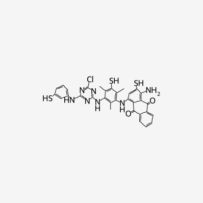 Cc1c(S)c(C)c(Nc2cc(S)c(N)c3c2C(=O)c2ccccc2C3=O)c(C)c1Nc1nc(Cl)nc(Nc2cccc(S)c2)n1